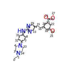 CCN1CCN(c2ccc(Nc3ncc(CCc4cc(OC)cc(C(=O)OC)c4)cn3)cc2)CC1